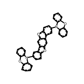 c1ccc2c(c1)Oc1ccccc1N2c1ccc2oc3cc4c(cc3c2c1)oc1ccc(N2c3ccccc3Oc3ccccc32)cc14